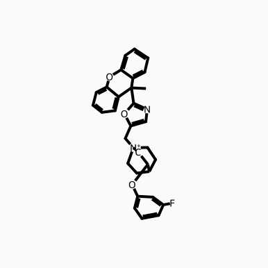 CC1(c2ncc(C[N+]34CCC(CC3)C(Oc3cccc(F)c3)C4)o2)c2ccccc2Oc2ccccc21